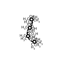 CC1C(C)C(C)C(COCC2C(C)C(C)C(COCC3C(C)C(C)C(COCC4C(C)C(C)C(C)C(C)C4C)C(O)C3C(=O)O)C(O)C2O)C(C)C1C